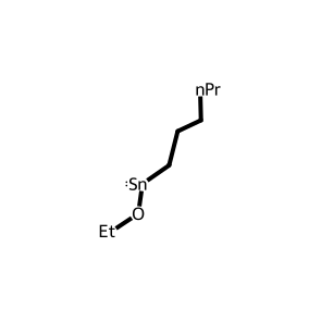 CCCCC[CH2][Sn][O]CC